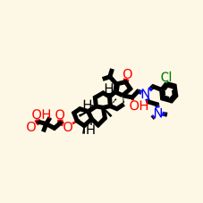 CC(C)C1=C2[C@H]3CC[C@@H]4[C@@]5(C)CC[C@H](OC(=O)CC(C)(C)C(=O)O)[C@H](C)[C@@H]5CC[C@@]4(C)[C@]3(C)CC[C@@]2([C@H](O)CN(CCN(C)C)Cc2ccccc2Cl)CC1=O